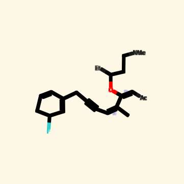 CCC(CCNC)OC(=C/C(C)=O)/C(C)=C\C#CCC1=CC(F)CC=C1